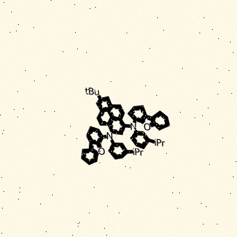 CC(C)c1cccc(N(c2cc(N(c3cccc(C(C)C)c3)c3cccc4c3oc3ccccc34)c3ccc4cc(C(C)(C)C)cc5ccc2c3c54)c2cccc3c2oc2ccccc23)c1